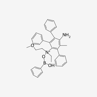 CC[N+](CCOC)(OB(O)c1ccccc1)c1c(-c2ccccc2)c(C)c(N)c(-c2ccccc2)c1-c1ccccc1